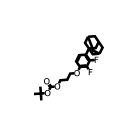 CC(C)(C)OC(=O)OCCCOc1ccc(C23CC4CC(CC(C4)C2)C3)c(F)c1F